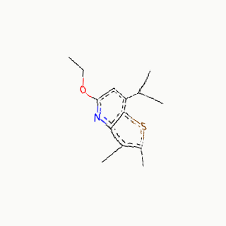 CCOc1cc(C(C)C)c2sc(C)c(C)c2n1